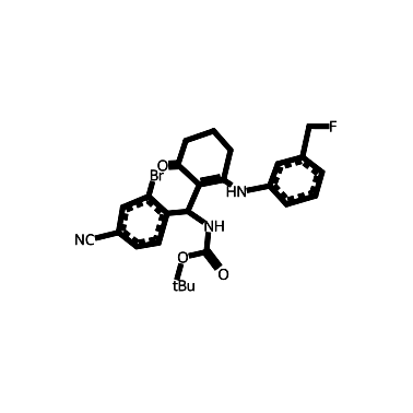 CC(C)(C)OC(=O)NC(C1=C(Nc2cccc(CF)c2)CCCC1=O)c1ccc(C#N)cc1Br